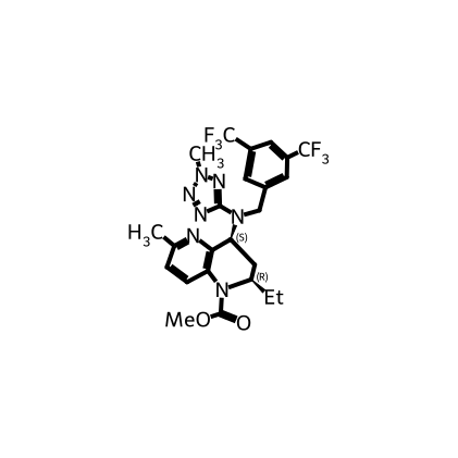 CC[C@@H]1C[C@H](N(Cc2cc(C(F)(F)F)cc(C(F)(F)F)c2)c2nnn(C)n2)c2nc(C)ccc2N1C(=O)OC